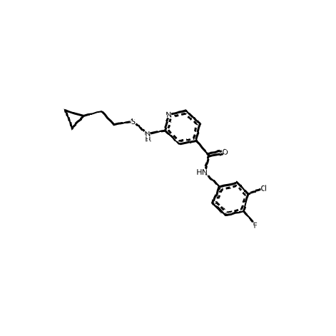 O=C(Nc1ccc(F)c(Cl)c1)c1ccnc(NSCCC2CC2)c1